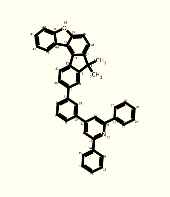 CC1(C)c2cc(-c3cccc(-c4cc(-c5ccccc5)nc(-c5ccccc5)c4)c3)ccc2-c2c1ccc1oc3ccccc3c21